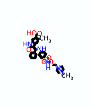 Cc1cc2c(cc1C(=O)O)NC(=O)C2=C(Nc1ccc(S(=O)(=O)NOCCN2CCN(C)CC2)cc1)c1ccccc1